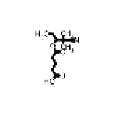 CCC(OC(=O)CCCC(=O)O)C(C)(C)C#N